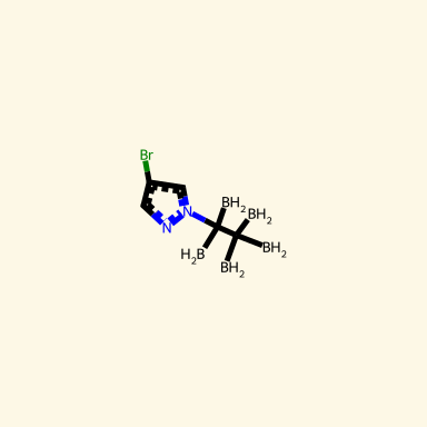 BC(B)(B)C(B)(B)n1cc(Br)cn1